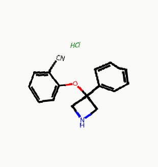 Cl.N#Cc1ccccc1OC1(c2ccccc2)CNC1